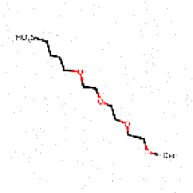 CCCCCCCCCCOCCOCCOCCOCCCCS(=O)(=O)O